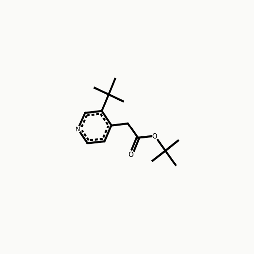 CC(C)(C)OC(=O)Cc1ccncc1C(C)(C)C